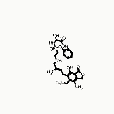 CCc1c(C)c2c(c(O)c1C/C=C(\C)CNCCP(=O)(N[C@@H](C)C(=O)O)Oc1ccccc1)C(=O)OC2